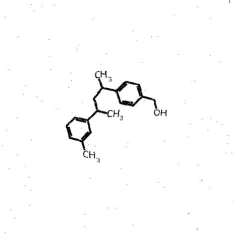 Cc1cccc(C(C)CC(C)c2ccc(CO)cc2)c1